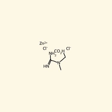 CN(CC(=O)O)C(=N)N.[Cl-].[Cl-].[Zn+2]